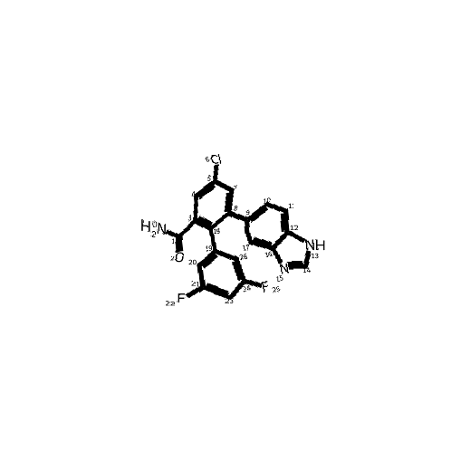 NC(=O)c1cc(Cl)cc(-c2ccc3[nH]cnc3c2)c1-c1cc(F)cc(F)c1